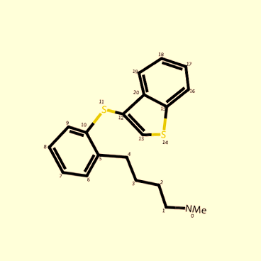 CNCCCCc1ccccc1Sc1csc2ccccc12